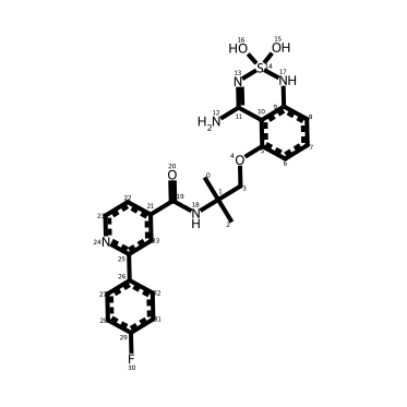 CC(C)(COc1cccc2c1C(N)=NS(O)(O)N2)NC(=O)c1ccnc(-c2ccc(F)cc2)c1